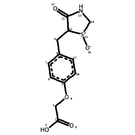 O=C(O)COc1ccc(CC2C(=O)NC[S+]2[O-])cc1